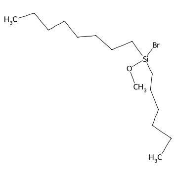 CCCCCCCC[Si](Br)(CCCCCC)OC